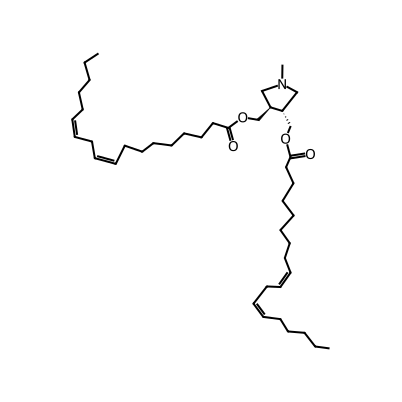 CCCCC/C=C\C/C=C\CCCCCCCC(=O)OC[C@H]1CN(C)C[C@@H]1COC(=O)CCCCCCC/C=C\C/C=C\CCCCC